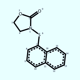 O=C1OCCN1Sc1cccc2ccccc12